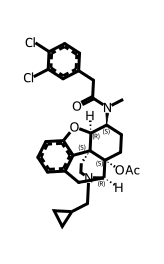 CC(=O)O[C@@]12CC[C@H](N(C)C(=O)Cc3ccc(Cl)c(Cl)c3)[C@@H]3Oc4cccc5c4[C@@]31CCN(CC1CC1)[C@@H]2C5